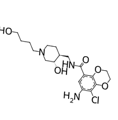 Nc1cc(C(=O)NC[C@@H]2CCN(CCCCO)C[C@H]2O)c2c(c1Cl)OCCO2